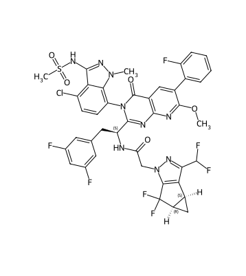 COc1nc2nc([C@H](Cc3cc(F)cc(F)c3)NC(=O)Cn3nc(C(F)F)c4c3C(F)(F)[C@@H]3C[C@H]43)n(-c3ccc(Cl)c4c(NS(C)(=O)=O)nn(C)c34)c(=O)c2cc1-c1ccccc1F